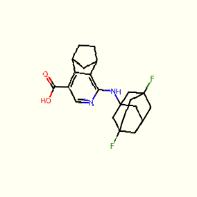 O=C(O)c1cnc(NC23CC4CC(F)(CC(F)(C4)C2)C3)c2c1C1CCC2C1